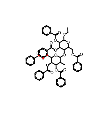 CCSC1OC(COC(=O)c2ccccc2)C(OC2OC(COC(=O)c3ccccc3)C(OC(=O)c3ccccc3)C(OC(=O)c3ccccc3)C2C)C(OC(=O)c2ccccc2)C1OC(=O)c1ccccc1